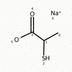 CC(S)C(=O)[O-].[Na+]